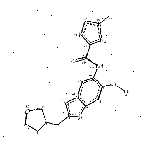 CCOc1cc2nc(CC3CCOC3)cn2cc1NC(=O)c1ncn(C)n1